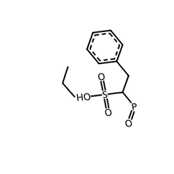 CCC.O=PC(Cc1ccccc1)S(=O)(=O)O